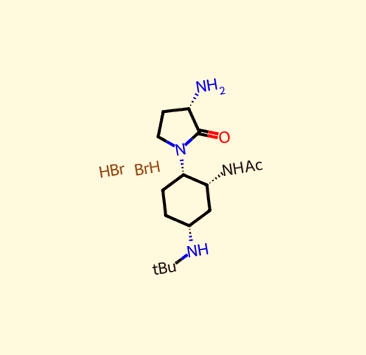 Br.Br.CC(=O)N[C@@H]1C[C@H](NC(C)(C)C)CC[C@@H]1N1CC[C@H](N)C1=O